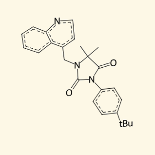 CC(C)(C)c1ccc(N2C(=O)N(Cc3ccnc4ccccc34)C(C)(C)C2=O)cc1